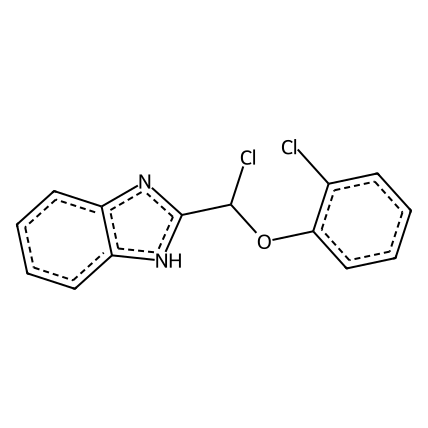 Clc1ccccc1OC(Cl)c1nc2ccccc2[nH]1